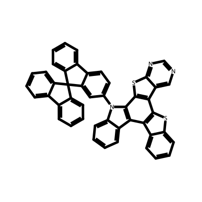 c1ccc2c(c1)-c1ccccc1C21c2ccccc2-c2ccc(-n3c4ccccc4c4c5c6ccccc6sc5c5c6cncnc6sc5c43)cc21